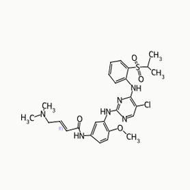 COc1ccc(NC(=O)/C=C/CN(C)C)cc1Nc1ncc(Cl)c(Nc2ccccc2S(=O)(=O)C(C)C)n1